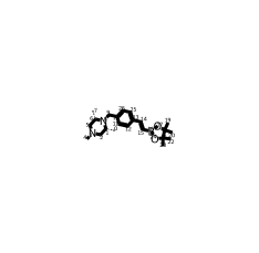 C[C@@H]1CN(C)C[C@H](C)N1Cc1ccc(C=CB2OC(C)(C)C(C)(C)O2)cc1